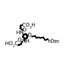 CCCCCCCCCCCCCCCCCCOc1cc(NC(=O)/C=C\C(=O)O)cc(NC(=O)/C=C\C(=O)O)c1